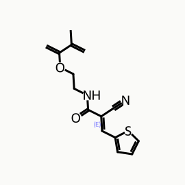 C=C(C)C(=C)OCCNC(=O)/C(C#N)=C/c1cccs1